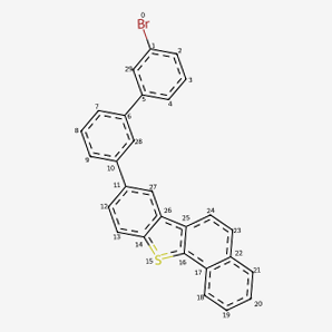 Brc1cccc(-c2cccc(-c3ccc4sc5c6ccccc6ccc5c4c3)c2)c1